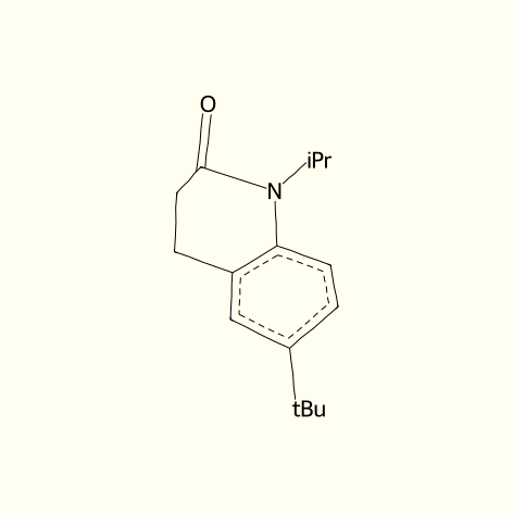 CC(C)N1C(=O)CCc2cc(C(C)(C)C)ccc21